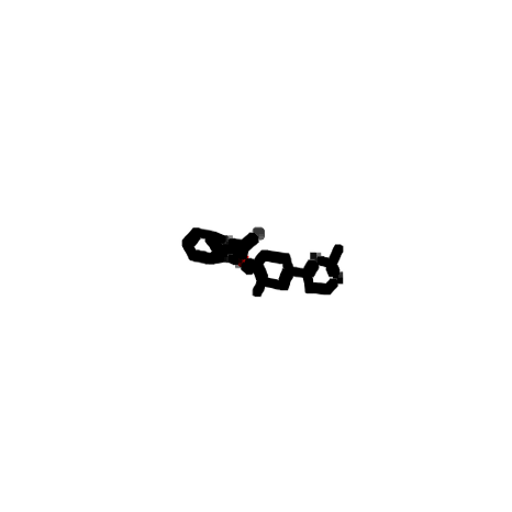 Cc1nccc(-c2ccc(OCc3c4cccc3-n3n(C)c(=O)n3-4)c(C)c2)n1